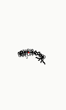 CCCCC(CC)COP(=O)(OCC(CC)CCCC)Oc1ccc2c(c1)CCC1C2CCC2(C)C(OC(=O)CCC(O)C(O)CCC(=O)Nc3ccc(OC)c(C(N)=O)c3O)CCC12